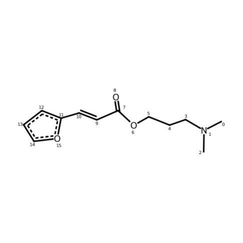 CN(C)CCCOC(=O)C=Cc1ccco1